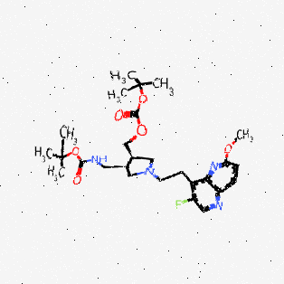 COc1ccc2ncc(F)c(CCN3C[C@@H](CNC(=O)OC(C)(C)C)[C@@H](COC(=O)OC(C)(C)C)C3)c2n1